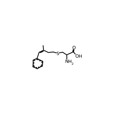 CC(=Cc1ccccc1)CCSCC(N)C(=O)O